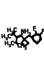 C=C(C)C(C(=C)C)=C(N)C1(Cc2cccc(F)c2F)CCC1